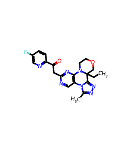 CCC12COCCN1c1nc(CC(=O)c3ccc(F)cn3)ncc1-n1c(C)nnc12